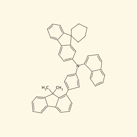 CC1(C)c2ccccc2-c2cccc(-c3ccc(N(c4ccc5c(c4)C4(CCCCC4)c4ccccc4-5)c4cccc5ccccc45)cc3)c21